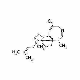 CC(C)=CCN1C2=C3CC1C(C)C1(C)/C=N\C/C(Cl)=C\C3=C1CC2